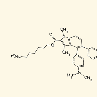 CCCCCCCCCCCCCCCCOC(=O)c1c(C)c2c(-c3ccc(N(C)C)cc3)c(-c3ccccc3)ccc2n1C